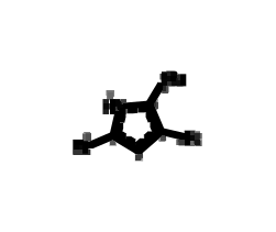 CCc1cc(CC)c(C(C)(C)C)[nH]1